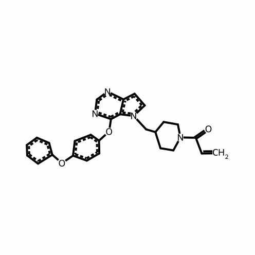 C=CC(=O)N1CCC(Cn2ccc3ncnc(Oc4ccc(Oc5ccccc5)cc4)c32)CC1